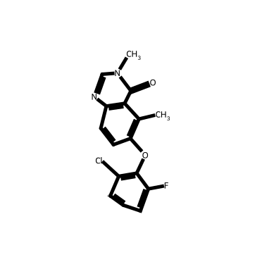 Cc1c(Oc2c(Cl)[c]ccc2F)ccc2ncn(C)c(=O)c12